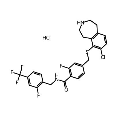 Cl.O=C(NCc1ccc(C(F)(F)F)cc1F)c1ccc(CSc2c(Cl)ccc3c2CCNCC3)cc1F